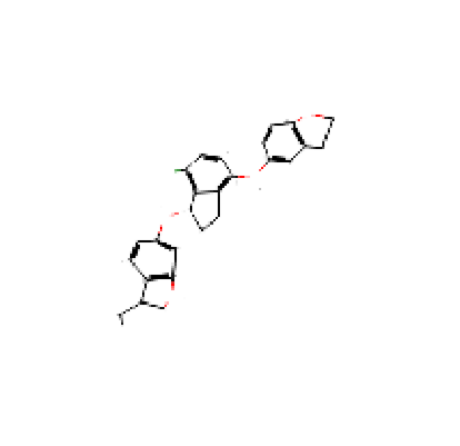 O=C(O)CC1COc2cc(O[C@@H]3CCc4c(Oc5ccc6c(c5)CCO6)ccc(F)c43)ccc21